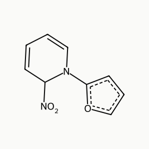 O=[N+]([O-])C1C=CC=CN1c1ccco1